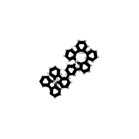 c1ccc2c(c1)-c1ccccc1[Si]21c2ccccc2-c2c(-c3ccc4c(c3)c3cccc5c6ccccc6c6ccccc6c6ccccc6n4c53)cccc21